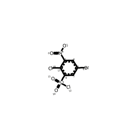 O=[N+]([O-])c1cc(Br)cc(S(=O)(=O)Cl)c1Cl